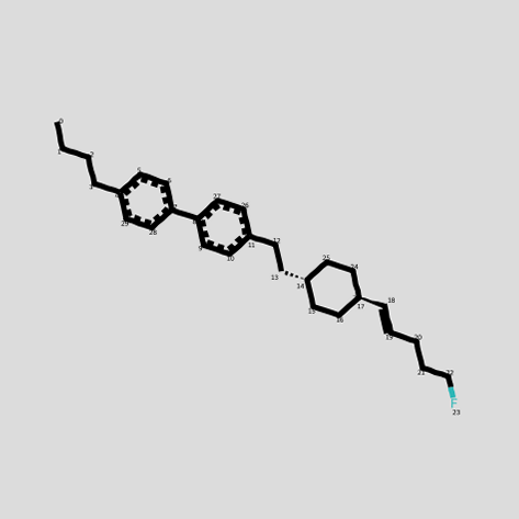 CCCCc1ccc(-c2ccc(CC[C@H]3CC[C@H](C=CCCCF)CC3)cc2)cc1